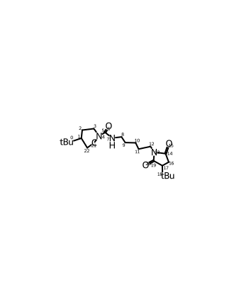 CC(C)(C)C1CCN(C(=O)NCCCCCN2C(=O)CC(C(C)(C)C)C2=O)CC1